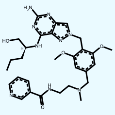 CCC[C@@H](CO)Nc1nc(N)nc2cn(Cc3c(OC)cc(CN(C)CCNC(=O)c4cccnc4)cc3OC)nc12